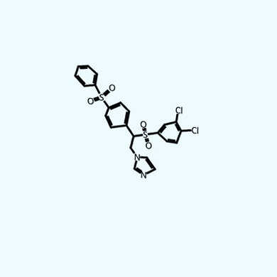 O=S(=O)(c1ccccc1)c1ccc(C(Cn2ccnc2)S(=O)(=O)c2ccc(Cl)c(Cl)c2)cc1